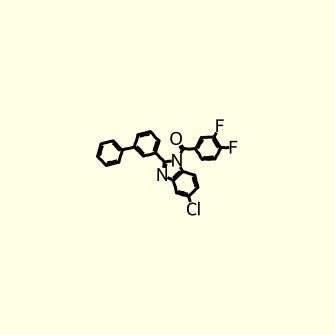 O=C(c1ccc(F)c(F)c1)n1c(-c2cccc(-c3ccccc3)c2)nc2cc(Cl)ccc21